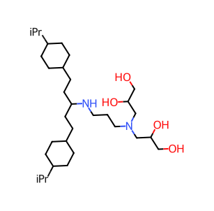 CC(C)C1CCC(CCC(CCC2CCC(C(C)C)CC2)NCCCN(CC(O)CO)CC(O)CO)CC1